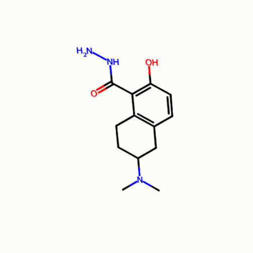 CN(C)C1CCc2c(ccc(O)c2C(=O)NN)C1